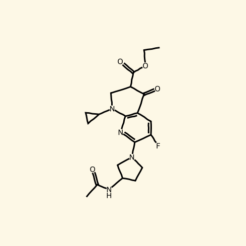 CCOC(=O)C1CN(C2CC2)c2nc(N3CCC(NC(C)=O)C3)c(F)cc2C1=O